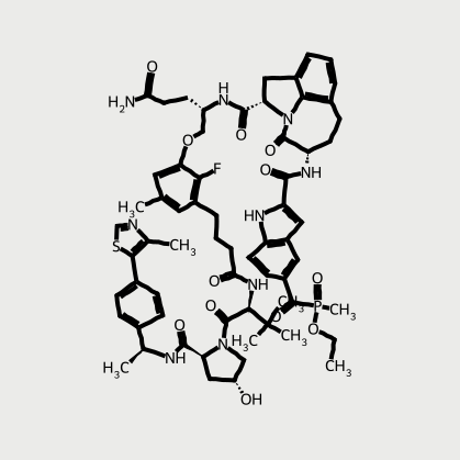 CCOP(C)(=O)C(=O)c1ccc2[nH]c(C(=O)N[C@H]3CCc4cccc5c4N(C3=O)[C@H](C(=O)N[C@@H](CCC(N)=O)COc3cc(C)cc(CCCC(=O)N[C@H](C(=O)N4C[C@H](O)C[C@H]4C(=O)N[C@@H](C)c4ccc(-c6scnc6C)cc4)C(C)(C)C)c3F)C5)cc2c1